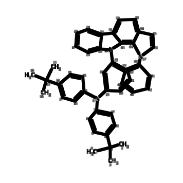 CC(C)(C)c1ccc(N(c2ccc(C(C)(C)C)cc2)c2cccc(-n3c4ccccc4c4ccc5ccn(-c6ccccc6)c5c43)c2)cc1